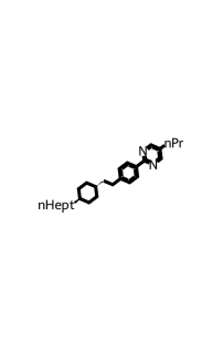 CCCCCCC[C@H]1CC[C@H](CCc2ccc(-c3ncc(CCC)cn3)cc2)CC1